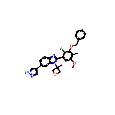 COc1cc(-c2nc3ccc(-c4cn[nH]c4)cc3n2C2(C)COC2)c(F)c(OCc2ccccc2)c1C